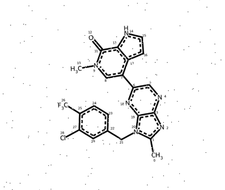 Cc1nc2ncc(-c3cn(C)c(=O)c4[nH]ccc34)nc2n1Cc1ccc(C(F)(F)F)c(Cl)c1